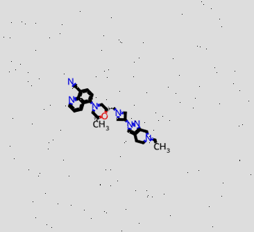 CCN1CCc2cn(C3CN(C[C@H]4CN(c5ccc(C#N)c6ncccc56)C[C@@H](C)O4)C3)nc2C1